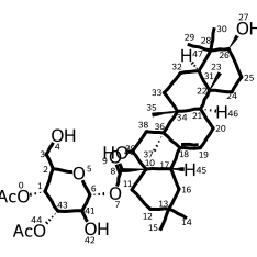 CC(=O)O[C@@H]1C(CO)O[C@H](OC(=O)[C@]23CCC(C)(C)C[C@H]2C2=CC[C@@H]4[C@@]5(C)CC[C@H](O)C(C)(C)[C@@H]5CC[C@@]4(C)[C@]2(C)CC3O)C(O)[C@@H]1OC(C)=O